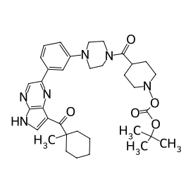 CC(C)(C)OC(=O)ON1CCC(C(=O)N2CCN(c3cccc(-c4cnc5[nH]cc(C(=O)C6(C)CCCCC6)c5n4)c3)CC2)CC1